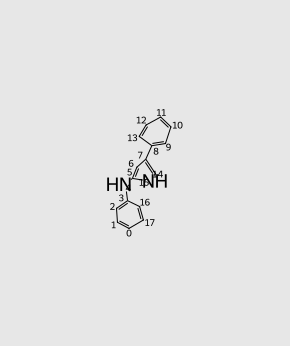 c1ccc(Nc2cc(-c3ccccc3)c[nH]2)cc1